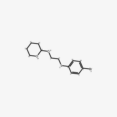 Brc1ccc(SCCOC2CCCCO2)cc1